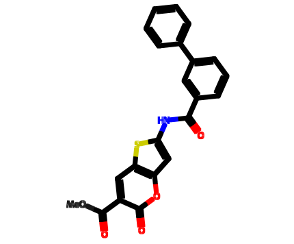 COC(=O)c1cc2sc(NC(=O)c3cccc(-c4ccccc4)c3)cc2oc1=O